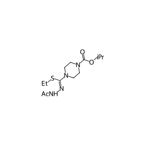 CCS/C(=N\NC(C)=O)N1CCN(C(=O)OC(C)C)CC1